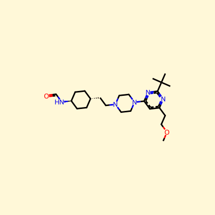 COCCc1cc(N2CCN(CC[C@H]3CC[C@H](NC=O)CC3)CC2)nc(C(C)(C)C)n1